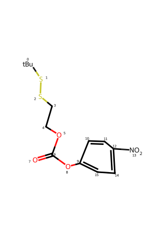 CC(C)(C)SSCCOC(=O)Oc1ccc([N+](=O)[O-])cc1